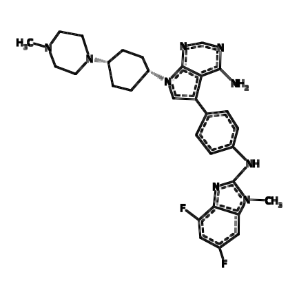 CN1CCN([C@H]2CC[C@@H](n3cc(-c4ccc(Nc5nc6c(F)cc(F)cc6n5C)cc4)c4c(N)ncnc43)CC2)CC1